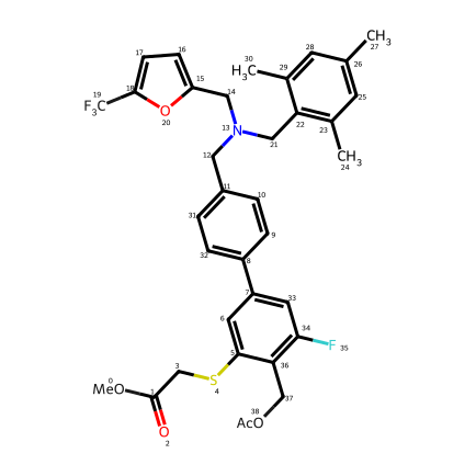 COC(=O)CSc1cc(-c2ccc(CN(Cc3ccc(C(F)(F)F)o3)Cc3c(C)cc(C)cc3C)cc2)cc(F)c1COC(C)=O